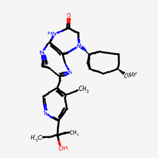 CO[C@H]1CC[C@@H](N2CC(=O)Nc3ncc(-c4cnc(C(C)(C)O)cc4C)nc32)CC1